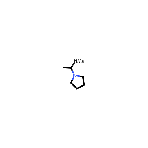 C[N]C(C)N1CCCC1